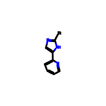 CCc1ncc(-c2ccccn2)[nH]1